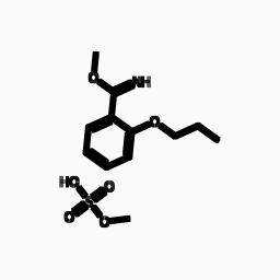 CCCOc1ccccc1C(=N)OC.COS(=O)(=O)O